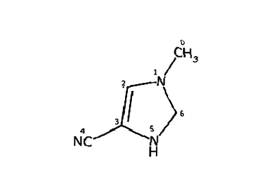 CN1[C]=C(C#N)NC1